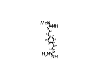 CNC(=N)SCCc1ccc(CCSC(=N)N)cc1